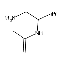 C=C(C)NC(CN)C(C)C